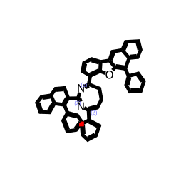 C1=C(c2ccccc2)/N=C(c2ccc3ccccc3c2-c2ccccc2)\N=C(\c2cccc3c2oc2c(-c4ccccc4)c4ccccc4cc23)CC\1